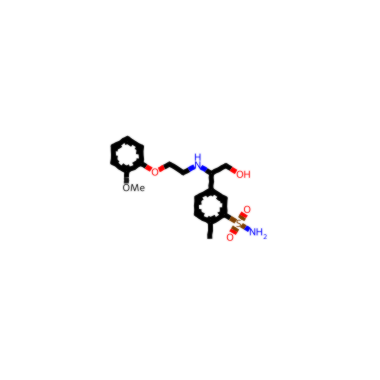 COc1ccccc1OCCNC(CO)c1ccc(C)c(S(N)(=O)=O)c1